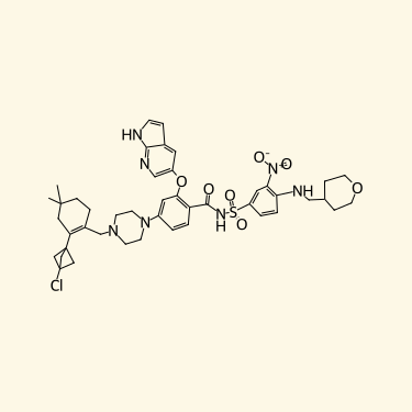 CC1(C)CCC(CN2CCN(c3ccc(C(=O)NS(=O)(=O)c4ccc(NCC5CCOCC5)c([N+](=O)[O-])c4)c(Oc4cnc5[nH]ccc5c4)c3)CC2)=C(C23CC(Cl)(C2)C3)C1